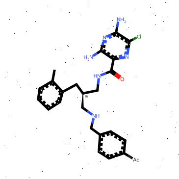 CC(=O)c1ccc(CNC[C@H](CNC(=O)c2nc(Cl)c(N)nc2N)Cc2ccccc2C)cc1